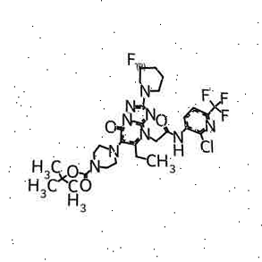 CCc1c(N2CCN(C(=O)OC(C)(C)C)CC2)c(=O)n2nc(N3CCC[C@@H](F)C3)nc2n1CC(=O)Nc1ccc(C(F)(F)F)nc1Cl